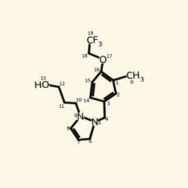 Cc1cc(CN2CC=CN2CCCO)ccc1OCC(F)(F)F